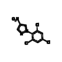 O=[N+]([O-])c1cnn(-c2c(Cl)cc(Cl)cc2Cl)c1